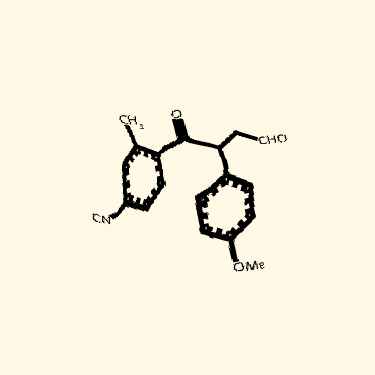 [C-]#[N+]c1ccc(C(=O)C(CC=O)c2ccc(OC)cc2)c(C)c1